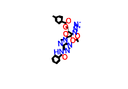 CC(=O)O[C@@H]1[C@H](N=[N+]=[N-])[C@@H](COC(=O)c2ccc(C)cc2)O[C@H]1n1cnc2c(NC(=O)c3ccccc3)ncnc21